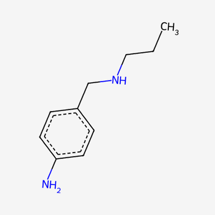 CCCNCc1ccc(N)cc1